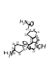 Cl.NC(=O)C[C@@H]1CCc2sc3ncnc(OC4CCC(N)CC4)c3c2C1